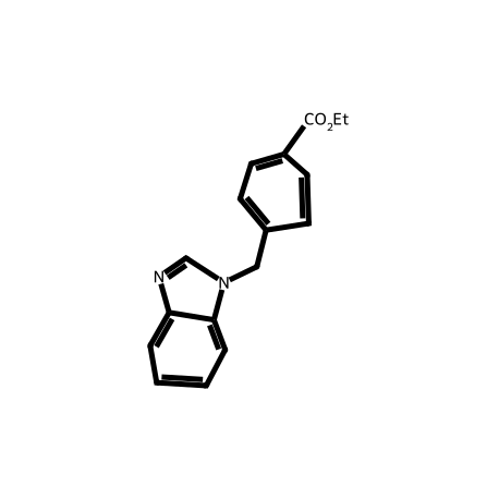 CCOC(=O)c1ccc(Cn2cnc3ccccc32)cc1